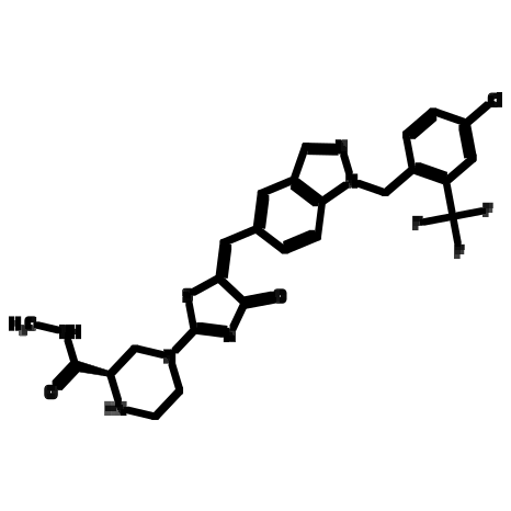 CNC(=O)[C@H]1CN(C2=NC(=O)/C(=C\c3ccc4c(cnn4Cc4ccc(Cl)cc4C(F)(F)F)c3)S2)CCN1